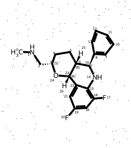 CNC[C@@H]1CC[C@@H]2[C@@H](c3ccccc3)Nc3c(F)cc(F)cc3[C@@H]2O1